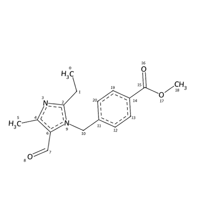 CCc1nc(C)c(C=O)n1Cc1ccc(C(=O)OC)cc1